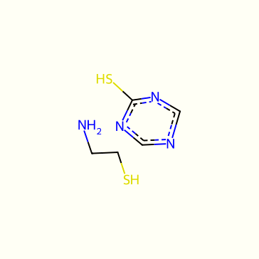 NCCS.Sc1ncncn1